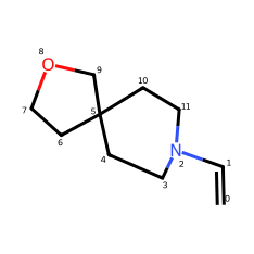 C=CN1CCC2(CCOC2)CC1